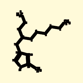 CCCCCCC(CCC)Cc1csc(C)n1